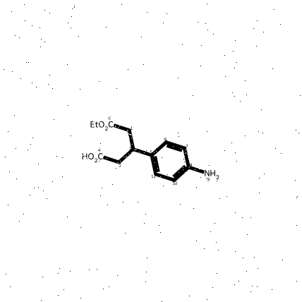 CCOC(=O)CC(CC(=O)O)c1ccc(N)cc1